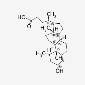 CC1C[C@@H](O)CC2CC[C@@H]3[C@H](CC[C@]4(C)[C@@H]([C@H](C)CCC(=O)O)CC[C@@H]34)[C@@]12C